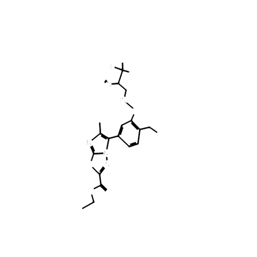 CCOC(=O)c1nn2c(-c3ccc(CC)c(SNCC(N=O)C(F)(F)F)c3)c(C)nc2s1